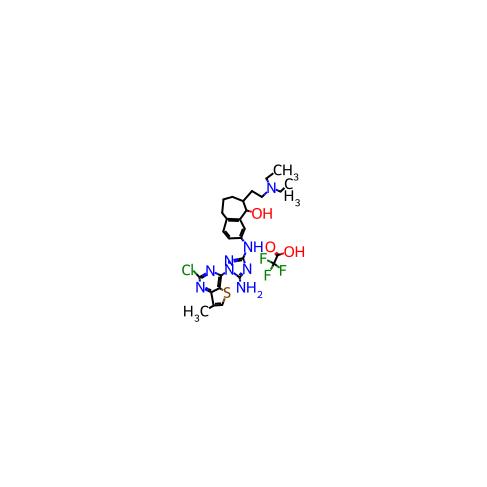 CCN(CC)CCC1CCCc2ccc(Nc3nc(N)n(-c4nc(Cl)nc5c(C)csc45)n3)cc2C1O.O=C(O)C(F)(F)F